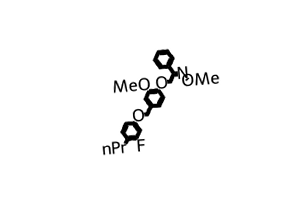 CCCc1ccc(OCc2ccc(OC/C(=N\OC)c3ccccc3)c(OC)c2)cc1F